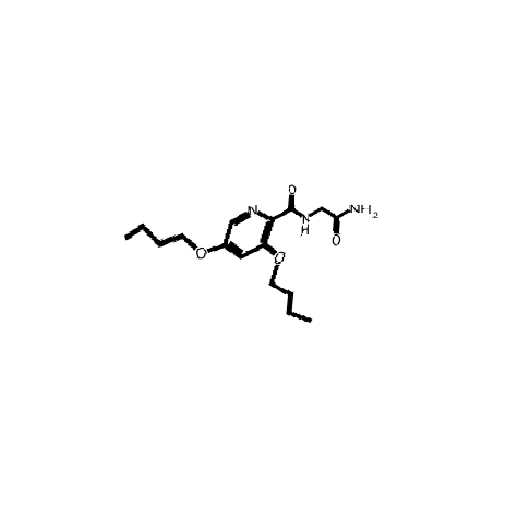 CCCCOc1cnc(C(=O)NCC(N)=O)c(OCCCC)c1